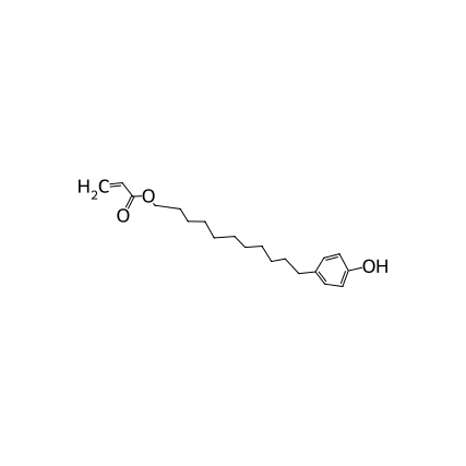 C=CC(=O)OCCCCCCCCCCCc1ccc(O)cc1